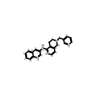 c1cncc(CN2CCc3c(ccnc3Nc3cnc4ccccc4c3)C2)c1